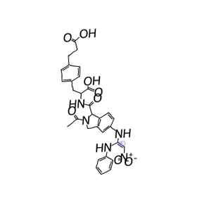 CC(=O)N1Cc2cc(N/C(=C/[N+](=O)[O-])Nc3ccccc3)ccc2C1C(=O)NC(Cc1ccc(CCC(=O)O)cc1)C(=O)O